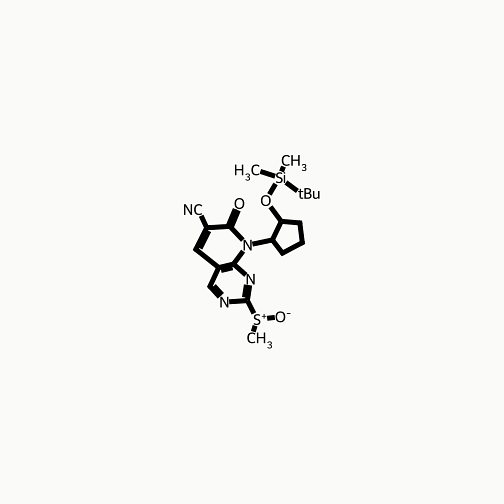 C[S+]([O-])c1ncc2cc(C#N)c(=O)n(C3CCCC3O[Si](C)(C)C(C)(C)C)c2n1